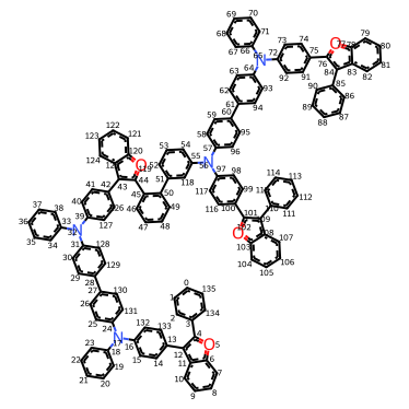 c1ccc(-c2oc3ccccc3c2-c2ccc(N(c3ccccc3)c3ccc(-c4ccc(N(c5ccccc5)c5ccc(-c6c(-c7ccccc7-c7cccc(N(c8ccc(-c9ccc(N(c%10ccccc%10)c%10ccc(-c%11oc%12ccccc%12c%11-c%11ccccc%11)cc%10)cc9)cc8)c8ccc(-c9oc%10ccccc%10c9-c9ccccc9)cc8)c7)oc7ccccc67)cc5)cc4)cc3)cc2)cc1